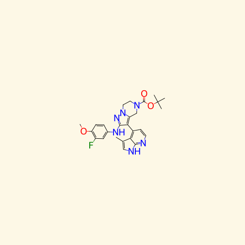 COc1ccc(Nc2nn3c(c2-c2ccnc4[nH]cc(C)c24)CN(C(=O)OC(C)(C)C)CC3)cc1F